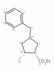 CCOC(=O)[C@H]1CN(Cc2ccccc2)C[C@H]1C